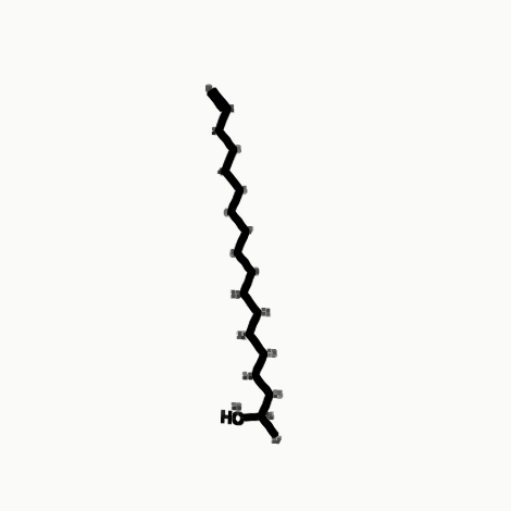 C=CCCCCCCCCCCCCCCC(C)O